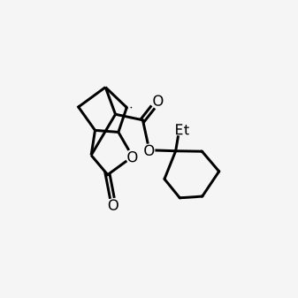 CCC1(OC(=O)C2C3[CH]C4OC(=O)C2C4C3)CCCCC1